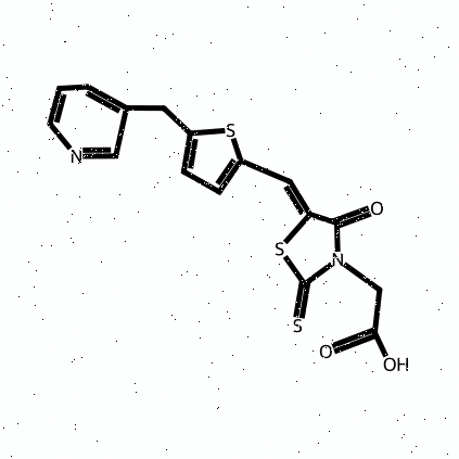 O=C(O)CN1C(=O)C(=Cc2ccc(Cc3cccnc3)s2)SC1=S